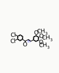 COc1cc(/C=C/C(=O)c2ccc(Cl)c(Cl)c2)cc(OC)c1OC